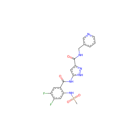 CS(=O)(=O)Nc1cc(F)c(F)cc1C(=O)Nc1cc(C(=O)NCc2cccnc2)n[nH]1